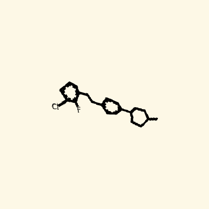 CC1CCC(c2ccc(CCc3cccc(Cl)c3F)cc2)CC1